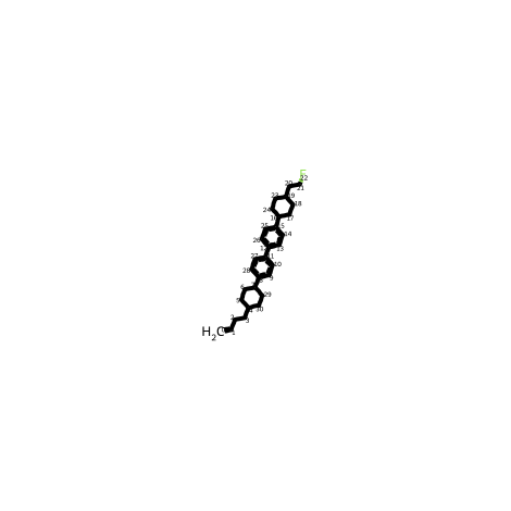 C=CCCC1CCC(c2ccc(-c3ccc(C4CCC(CCF)CC4)cc3)cc2)CC1